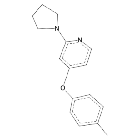 Cc1ccc(Oc2ccnc(N3CCCC3)c2)cc1